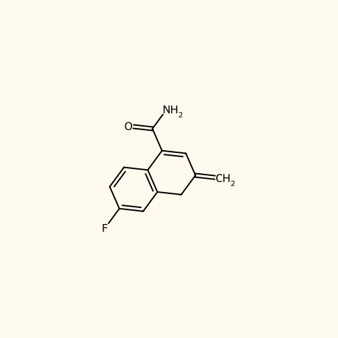 C=C1C=C(C(N)=O)c2ccc(F)cc2C1